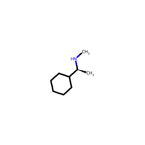 CN[C@@H](C)C1CCCCC1